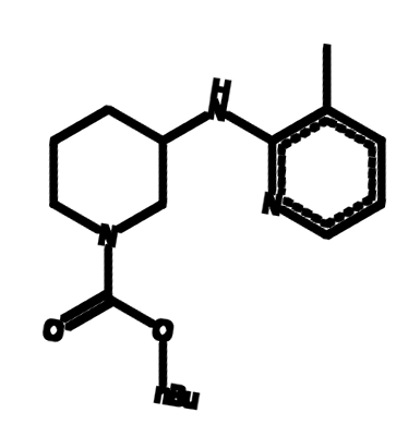 CCCCOC(=O)N1CCCC(Nc2ncccc2C)C1